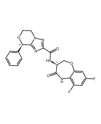 O=C(N[C@H]1COc2cc(F)cc(F)c2NC1=O)c1nc2n(n1)CCO[C@@H]2c1ccccc1